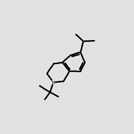 CC(C)c1ccc2c(c1)CCN(C(C)(C)C)C2